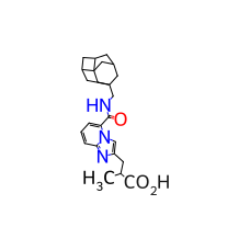 CC(Cc1cn2c(C(=O)NCC34CC5CC6CC(C3)C6(C5)C4)cccc2n1)C(=O)O